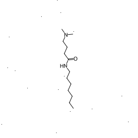 CCCCCCCNC(=O)CCCN(C)C